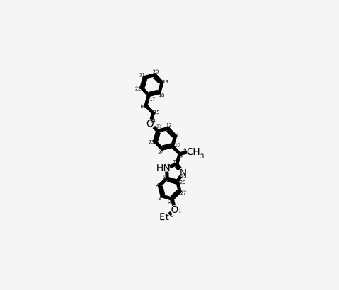 CCOc1ccc2[nH]c(C(C)c3ccc(OCCc4ccccc4)cc3)nc2c1